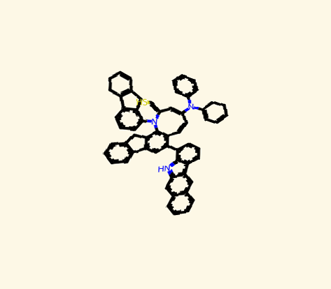 S/C=C1/C=C(N(C2=CC=CCC2)c2ccccc2)\C=C/c2c(-c3cccc4c3[nH]c3cc5ccccc5cc34)cc3c(c2N1c1cccc2c1CC1=C2CCC=C1)Cc1ccccc1-3